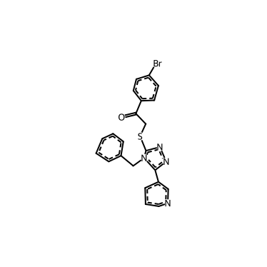 O=C(CSc1nnc(-c2cccnc2)n1Cc1ccccc1)c1ccc(Br)cc1